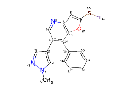 Cn1cc(-c2cnc3cc(SI)oc3c2-c2ccccc2)cn1